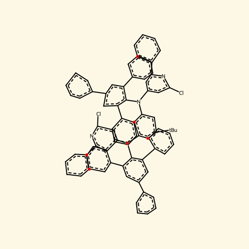 CC(C)(C)c1cc(N(c2cc(Cl)nc(-c3ccccc3)c2)c2c(-c3ccccc3)cc(-c3ccccc3)cc2-c2ccccc2)cc(N(c2cc(Cl)nc(-c3ccccc3)c2)c2c(-c3ccccc3)cc(-c3ccccc3)cc2-c2ccccc2)c1